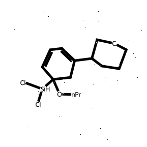 CCCOC1([SiH](Cl)Cl)C=CC=C(C2CCCCC2)C1